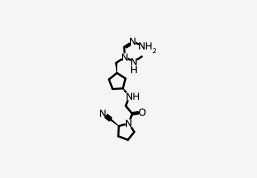 CNN(/C=N\N)C[C@@H]1CC[C@H](NCC(=O)N2CCC[C@H]2C#N)C1